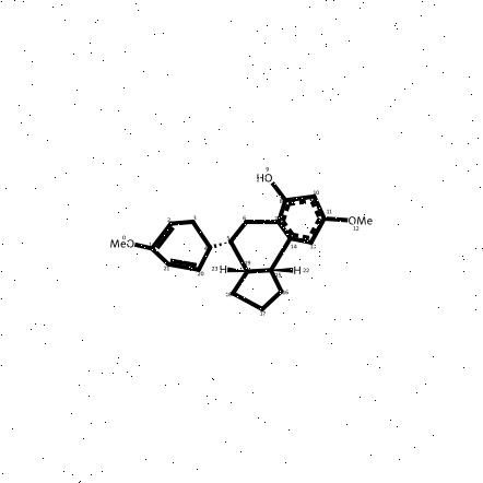 COC1=CCC([C@@H]2Cc3c(O)cc(OC)cc3[C@@H]3CCC[C@@H]32)C=C1